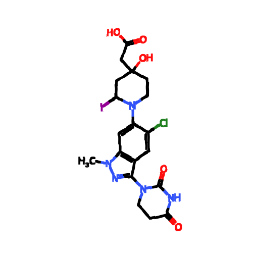 Cn1nc(N2CCC(=O)NC2=O)c2cc(Cl)c(N3CCC(O)(CC(=O)O)CC3I)cc21